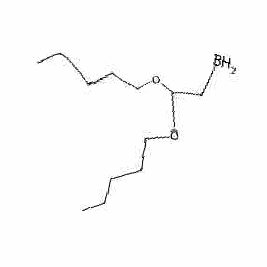 BCC(OCCCCC)OCCCCC